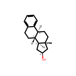 C[C@]12CC[C@@H]3c4ccccc4CC[C@H]3[C@@H]1C[C@H](O)C2